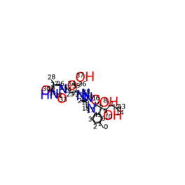 Cc1ccc2c(c1)C(O)(C(O)CC1CC1)C(=O)N2Cc1cn(C2CC(n3cc(C)c(=O)[nH]c3=O)OC2CO)nn1